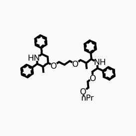 CCCOCCOCC(NC(c1ccccc1)C(C)COCCCOC1CC(c2ccccc2)NC(c2ccccc2)C1C)c1ccccc1